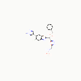 Cn1cc(-c2cc3sc(C(c4nnc(CN[SH](=O)=O)o4)S(=O)(=O)Cc4ccccc4)nc3cc2F)cn1